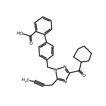 CC#CCc1nc(C(=O)C2CCCCC2)nn1Cc1ccc(-c2ccccc2C(=O)O)cc1